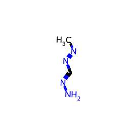 CN=NC=NN